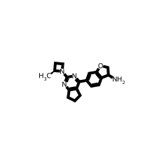 C[C@H]1CCN1c1nc2c(c(-c3ccc4c(c3)OCC4N)n1)CCC2